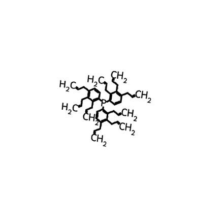 C=CCc1ccc(P(c2ccc(CC=C)c(CC=C)c2CC=C)c2ccc(CC=C)c(CC=C)c2CC=C)c(CC=C)c1CC=C